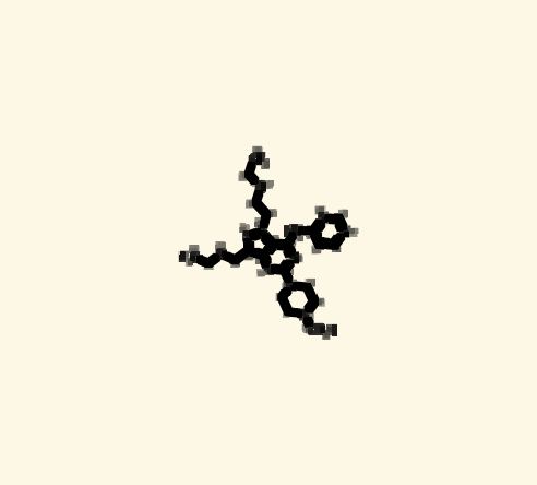 O=C(O)N1CCN(c2nc(Nc3ccncn3)c3c(n2)c(COCC(F)(F)F)nn3CCOCC(F)(F)F)CC1